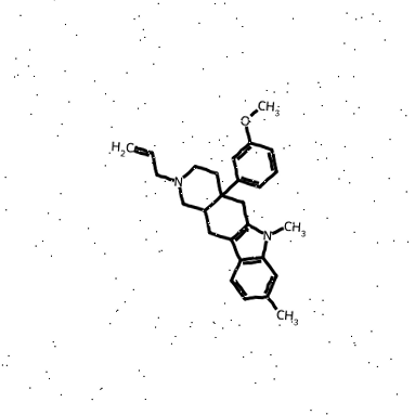 C=CCN1CCC2(c3cccc(OC)c3)Cc3c(c4ccc(C)cc4n3C)CC2C1